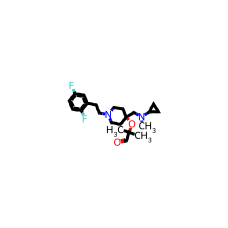 CN(CC1(OC(C)(C)C=O)CCN(CCc2cc(F)ccc2F)CC1)C1CC1